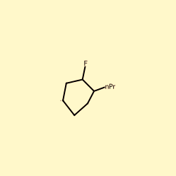 CCCC1CC[CH]CC1F